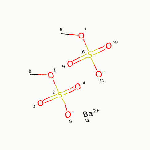 COS(=O)(=O)[O-].COS(=O)(=O)[O-].[Ba+2]